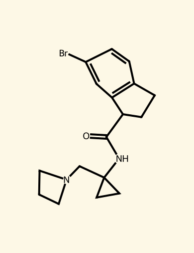 O=C(NC1(CN2CCC2)CC1)C1CCc2ccc(Br)cc21